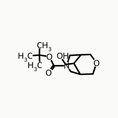 CC(C)(C)OC(=O)N1CC2COCC(C1)C2CO